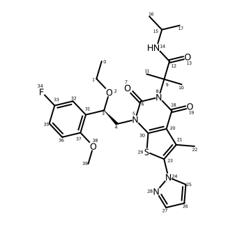 CCO[C@@H](Cn1c(=O)n(C(C)(C)C(=O)NC(C)C)c(=O)c2c(C)c(-n3cccn3)sc21)c1cc(F)ccc1OC